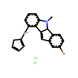 CN1c2ccc[c]([Zr+2][C]3=CC=CC3)c2C2=Cc3cc(Br)ccc3C21.[Cl-].[Cl-]